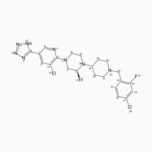 CC[C@H]1CN(c2ncc(-c3nnn[nH]3)cc2Cl)CCN1C1CCN(Cc2ccc(Cl)cc2F)CC1